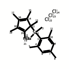 CCCC[Si](C)(c1c(C)cc(C)cc1C)C1(C)C(C)=C(C)C(C)=[C]1[Ti+3].[Cl-].[Cl-].[Cl-]